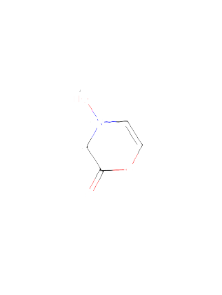 O=C1CN(O)C=CO1